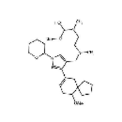 COC1CC=C(c2nn(C3CCCCO3)cc2CN(C)CCN(C)C(O)OC(C)(C)C)CC12CCCC2